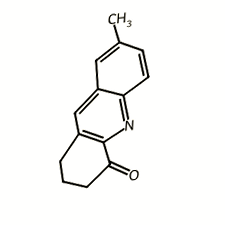 Cc1ccc2nc3c(cc2c1)CCCC3=O